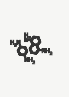 Nc1ccc(N)cc1.Nc1cccc2c(N)cccc12